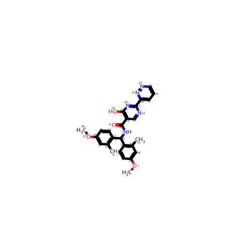 COc1ccc(C(NC(=O)c2cnc(-c3cccnn3)nc2O)c2ccc(OC)cc2C)c(C)c1